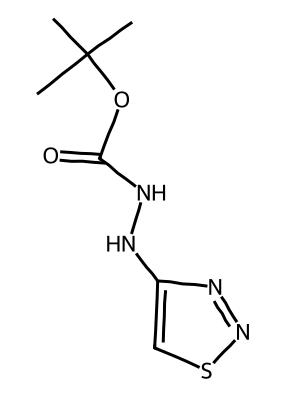 CC(C)(C)OC(=O)NNc1csnn1